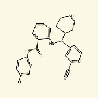 N#Cc1cc(C(Nc2ccccc2C(=O)Nc2ccc(Cl)cn2)C2CCNCC2)ccn1